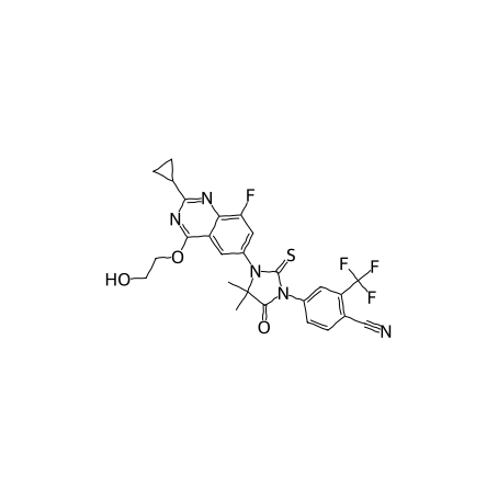 CC1(C)C(=O)N(c2ccc(C#N)c(C(F)(F)F)c2)C(=S)N1c1cc(F)c2nc(C3CC3)nc(OCCO)c2c1